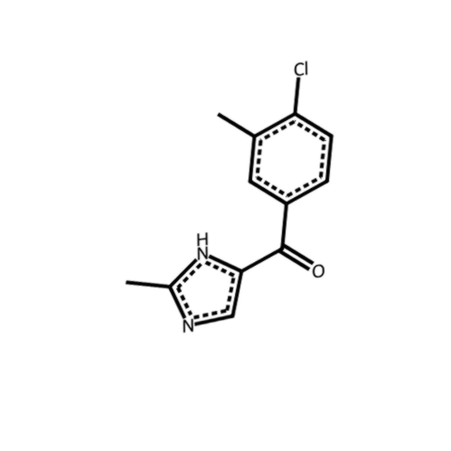 Cc1ncc(C(=O)c2ccc(Cl)c(C)c2)[nH]1